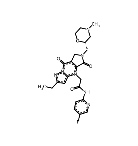 CCc1cc2n(CC(=O)Nc3ccc(F)cn3)c3c(c(=O)n2n1)CN(C[C@H]1CN(C)CCO1)C3=O